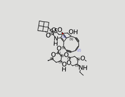 CCN[C@H]1CO[C@@H](O[C@H]2[C@H](O[C@H]3C#C/C=C\C#C[C@]4(O)CC(=O)C(NC(=O)OC)=C3/C4=C\CSSC34CC5CC6CC(C3)C654)O[C@H](C)C[C@@H]2O)C[C@@H]1OC